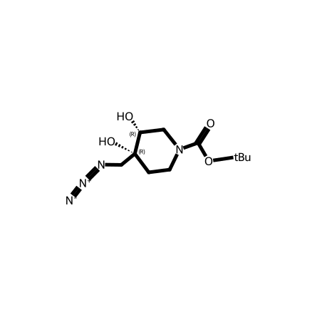 CC(C)(C)OC(=O)N1CC[C@@](O)(CN=[N+]=[N-])[C@H](O)C1